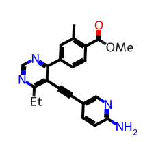 CCc1ncnc(-c2ccc(C(=O)OC)c(C)c2)c1C#Cc1ccc(N)nc1